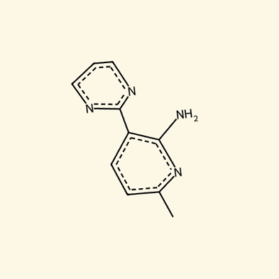 Cc1ccc(-c2ncccn2)c(N)n1